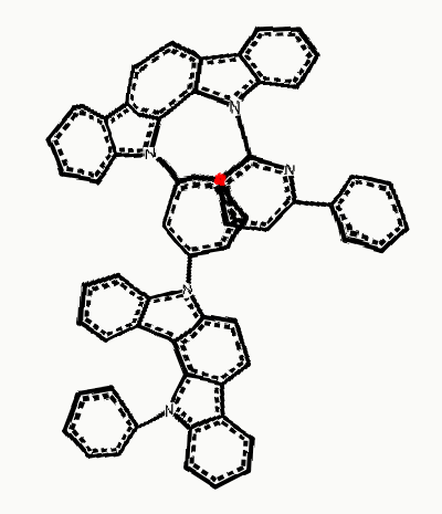 c1ccc(-c2cccc(-n3c4ccccc4c4ccc5c6ccccc6n(-c6cccc(-n7c8ccccc8c8c7ccc7c9ccccc9n(-c9ccccc9)c78)c6)c5c43)n2)cc1